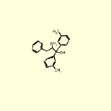 Cc1cccc(C(O)(c2cccc(C)c2)C(N)Cc2ccccc2)c1